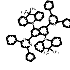 CC1(C)c2ccccc2N(c2cc(-c3nc(-c4ccccc4)cc(-c4ccccc4)n3)cc3c(N4c5ccccc5C(C)(C)c5ccccc54)cc(-c4nc(-c5ccccc5)cc(-c5ccccc5)n4)cc23)c2ccccc21